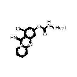 CCCCCCCNC(=O)Oc1cc(Cl)c2c(=N)n3ccccc3nc2c1